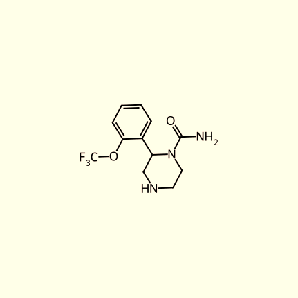 NC(=O)N1CCNCC1c1ccccc1OC(F)(F)F